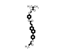 C=CC(=O)COc1ccc(-c2ccc3cc(/C=C/C(=O)Oc4ccc(OCOC(=O)C(=C)C)cc4)ccc3c2)cc1